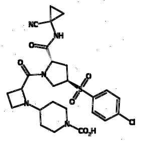 N#CC1(NC(=O)[C@@H]2C[C@@H](S(=O)(=O)c3ccc(Cl)cc3)CN2C(=O)C2CCN2C2CCN(C(=O)O)CC2)CC1